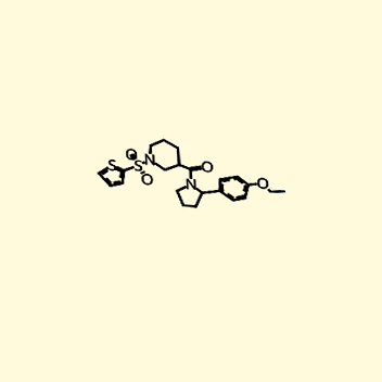 CCOc1ccc(C2CCCN2C(=O)C2CCCN(S(=O)(=O)c3cccs3)C2)cc1